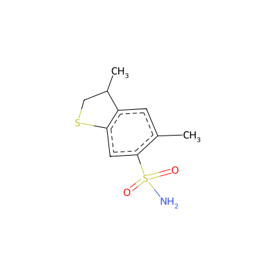 Cc1cc2c(cc1S(N)(=O)=O)SCC2C